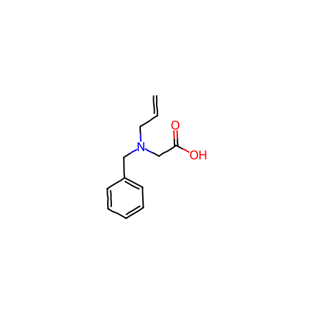 C=CCN(CC(=O)O)Cc1ccccc1